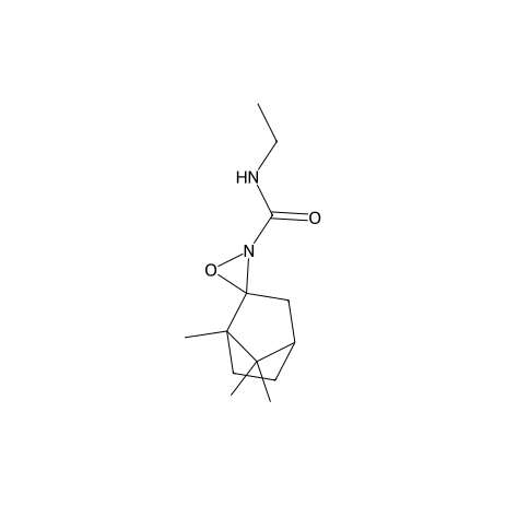 CCNC(=O)N1OC12CC1CCC2(C)C1(C)C